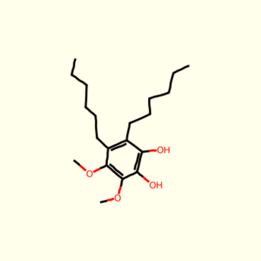 CCCCCCc1c(O)c(O)c(OC)c(OC)c1CCCCCC